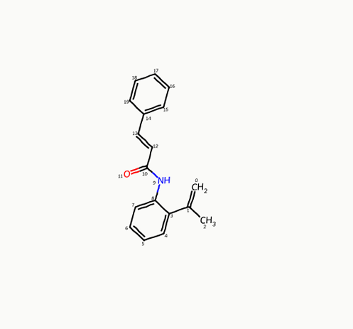 C=C(C)c1ccccc1NC(=O)C=Cc1ccccc1